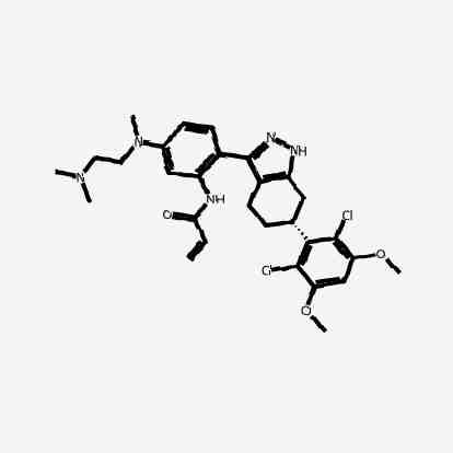 C=CC(=O)Nc1cc(N(C)CCN(C)C)ccc1-c1n[nH]c2c1CC[C@@H](c1c(Cl)c(OC)cc(OC)c1Cl)C2